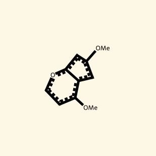 COc1[c]c2occc(OC)c-2c1